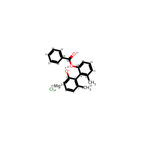 Cc1cccc([O-])c1-c1c(C)cccc1OC(=O)c1ccccc1.[Cl-].[Mg+2]